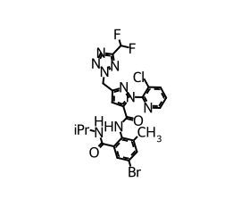 Cc1cc(Br)cc(C(=O)NC(C)C)c1NC(=O)c1cc(Cn2nnc(C(F)F)n2)nn1-c1ncccc1Cl